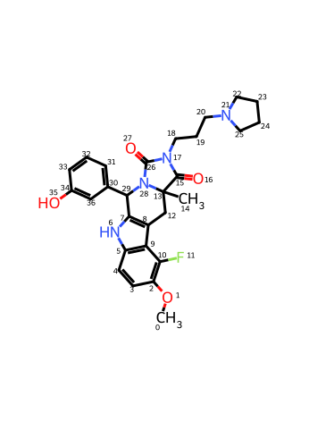 COc1ccc2[nH]c3c(c2c1F)CC1(C)C(=O)N(CCCN2CCCC2)C(=O)N1C3c1cccc(O)c1